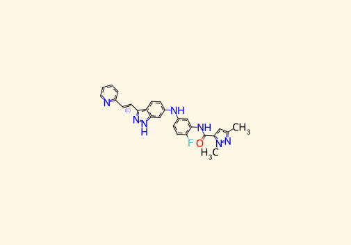 Cc1cc(C(=O)Nc2cc(Nc3ccc4c(/C=C/c5ccccn5)n[nH]c4c3)ccc2F)n(C)n1